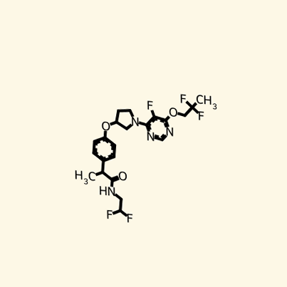 CC(C(=O)NCC(F)F)c1ccc(OC2CCN(c3ncnc(OCC(C)(F)F)c3F)C2)cc1